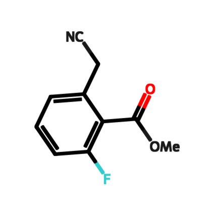 COC(=O)c1c(F)cccc1CC#N